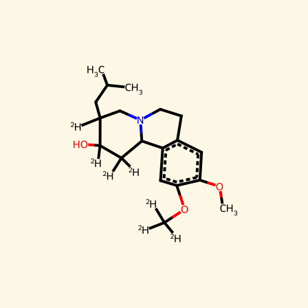 [2H]C([2H])([2H])Oc1cc2c(cc1OC)CCN1CC([2H])(CC(C)C)C([2H])(O)C([2H])([2H])C21